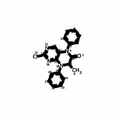 CC1C(=O)N(c2ccccc2)c2cnc(Cl)nc2N1c1ccccc1